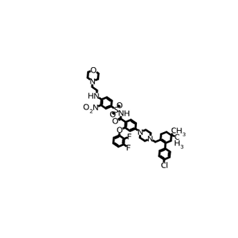 CC1(C)CCC(CN2CCN(c3ccc(C(=O)NS(=O)(=O)c4ccc(NCCN5CCOCC5)c([N+](=O)[O-])c4)c(Oc4cccc(F)c4F)c3)CC2)=C(c2ccc(Cl)cc2)C1